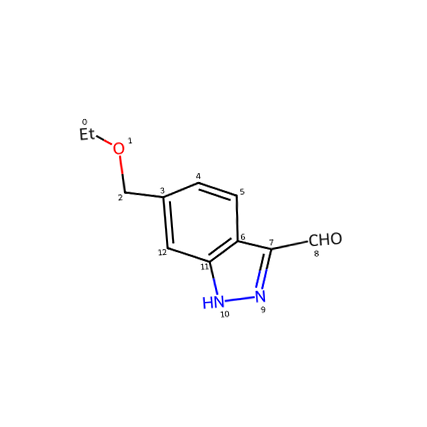 CCOCc1ccc2c(C=O)n[nH]c2c1